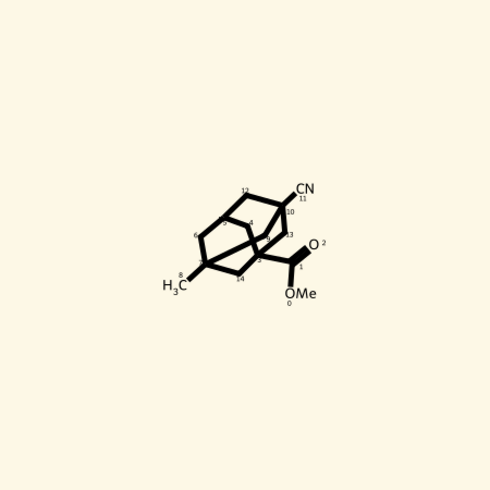 COC(=O)C12C[C]3CC(C)(CC(C#N)(C3)C1)C2